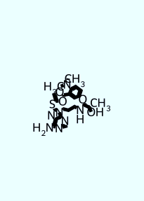 CC(O)C(=O)NCCCn1c(SC2=COC(c3ccccc3N(C)C)O2)nc2c(N)ncnc21